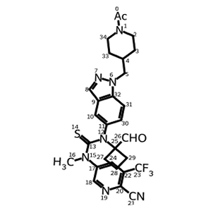 CC(=O)N1CCC(Cn2ncc3cc(N(C(=S)N(C)c4cnc(C#N)c(C(F)(F)F)c4)C4(C=O)CCC4)ccc32)CC1